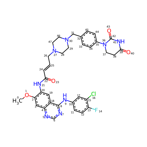 COc1cc2ncnc(Nc3ccc(F)c(Cl)c3)c2cc1NC(=O)/C=C/CN1CCN(Cc2ccc(N3CCC(=O)NC3=O)cc2)CC1